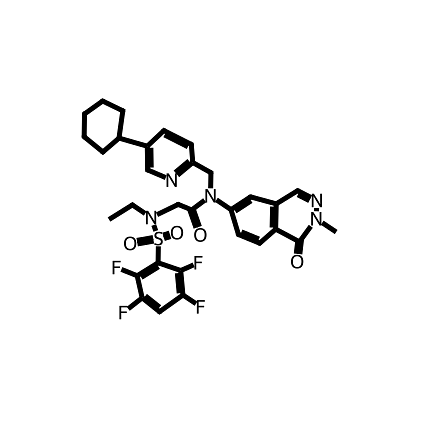 CCN(CC(=O)N(Cc1ccc(C2CCCCC2)cn1)c1ccc2c(=O)n(C)ncc2c1)S(=O)(=O)c1c(F)c(F)cc(F)c1F